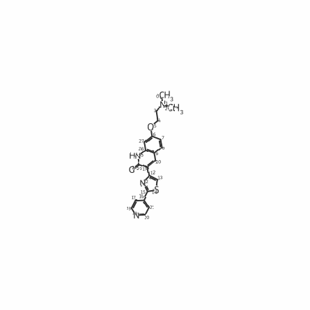 CN(C)CCOc1ccc2cc(-c3csc(-c4ccncc4)n3)c(=O)[nH]c2c1